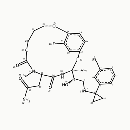 CCc1cccc(C2(NC[C@@H](O)[C@@H]3Cc4ccc(c(F)c4)OCCCCC(=O)N(C)C(CC(N)=O)C(=O)N3)CC2)c1